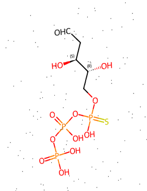 O=CC[C@H](O)[C@H](O)COP(O)(=S)OP(=O)(O)OP(=O)(O)O